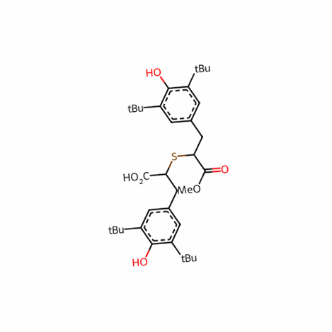 COC(=O)C(Cc1cc(C(C)(C)C)c(O)c(C(C)(C)C)c1)SC(Cc1cc(C(C)(C)C)c(O)c(C(C)(C)C)c1)C(=O)O